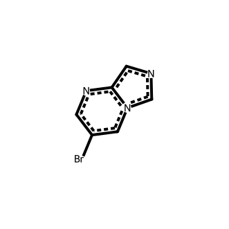 Brc1cnc2cncn2c1